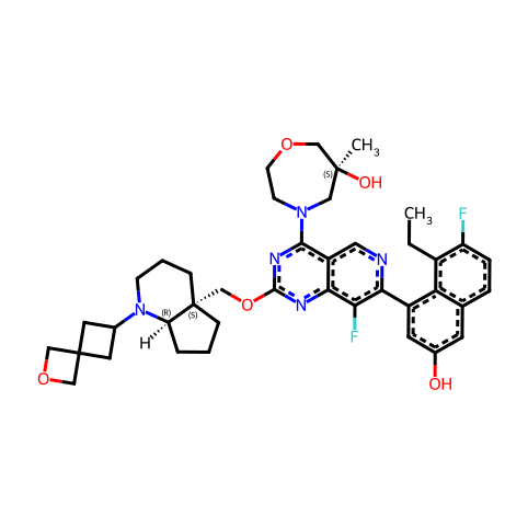 CCc1c(F)ccc2cc(O)cc(-c3ncc4c(N5CCOC[C@@](C)(O)C5)nc(OC[C@]56CCC[C@H]5N(C5CC7(COC7)C5)CCC6)nc4c3F)c12